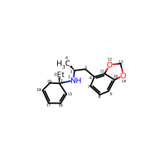 CC[C@@]1(N[C@@H](C)Cc2cccc3c2OCO3)C=CC=CC1